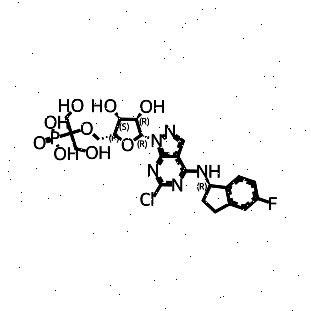 O=P(O)(O)C(CO)(CO)OC[C@H]1O[C@@H](n2ncc3c(N[C@@H]4CCc5cc(F)ccc54)nc(Cl)nc32)[C@H](O)[C@@H]1O